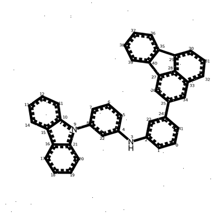 c1cc(Nc2cccc(-n3c4ccccc4c4ccccc43)c2)cc(-c2cc3c4c(cccc4c2)-c2ccccc2-3)c1